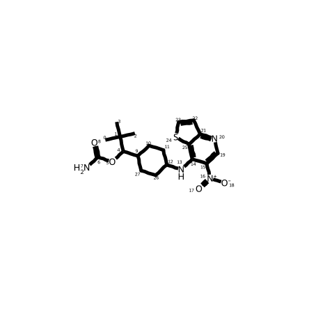 CC(C)(C)C(OC(N)=O)C1CCC(Nc2c([N+](=O)[O-])cnc3ccsc23)CC1